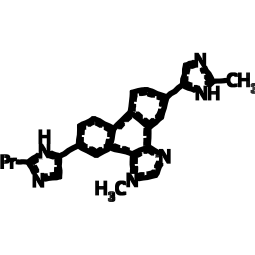 Cc1ncc(-c2ccc3c4ccc(-c5cnc(C(C)C)[nH]5)cc4c4c(ncn4C)c3c2)[nH]1